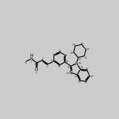 CNC(=O)/C=C/c1cccc(-c2nc3ccccc3n2C2CCCCC2)c1